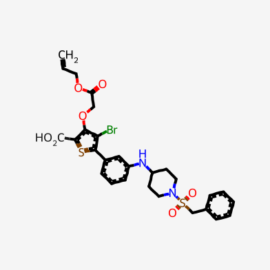 C=CCOC(=O)COc1c(C(=O)O)sc(-c2cccc(NC3CCN(S(=O)(=O)Cc4ccccc4)CC3)c2)c1Br